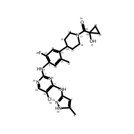 Cc1cc(Nc2nc(Nc3cc(C)c(C4CCN(C(=O)C5(O)CC5)CC4)cc3F)ncc2Cl)n[nH]1